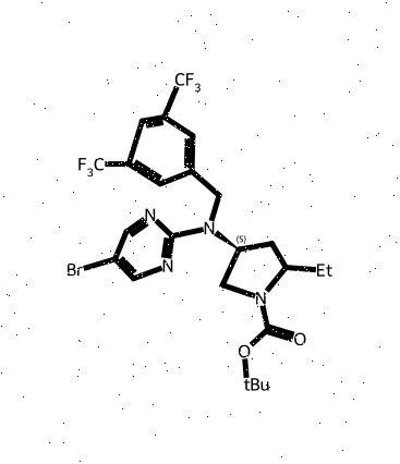 CCC1C[C@H](N(Cc2cc(C(F)(F)F)cc(C(F)(F)F)c2)c2ncc(Br)cn2)CN1C(=O)OC(C)(C)C